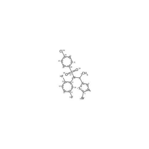 CC(c1cnc(Br)s1)N(c1cc(F)ccc1F)S(=O)(=O)c1ccc(Cl)cc1